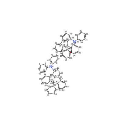 c1ccc(N(c2ccc(-c3ccc4c(c3)C3(c5ccccc5)c5ccccc5N(c5ccccc5)c5cccc-4c53)cc2)c2ccc3c(c2)C(c2ccccc2)(c2ccccc2)c2ccccc2-3)cc1